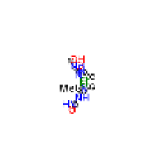 COc1nc(-c2cccc(-c3cccc(-c4ccn5c(=O)c(CNC[C@@H](C)O)cnc5c4)c3Cl)c2Cl)ccc1CNC[C@H]1CCC(=O)N1